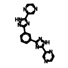 c1cc(-c2n[nH]c(-c3cnccn3)n2)cc(-c2n[nH]c(-c3cnccn3)n2)c1